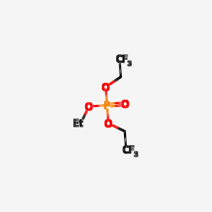 CCOP(=O)(OCC(F)(F)F)OCC(F)(F)F